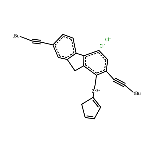 CC(C)(C)C#Cc1ccc2c(c1)Cc1c-2ccc(C#CC(C)(C)C)[c]1[Zr+2][C]1=CC=CC1.[Cl-].[Cl-]